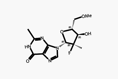 COC[C@H]1O[C@@H](n2cnc3c(=O)[nH]c(C)nc32)[C@](C)(F)[C@@H]1O